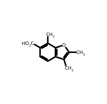 Cc1oc2c(C)c(C(=O)O)ccc2c1C